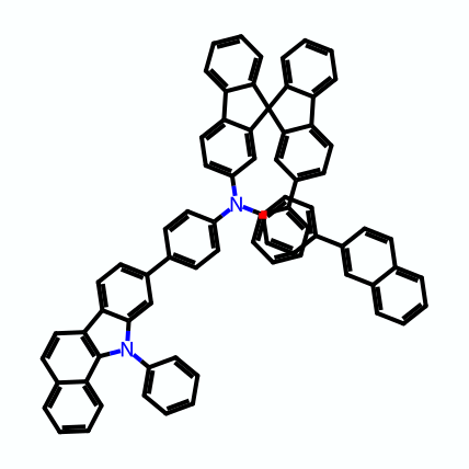 c1ccc(-c2ccc3c(c2)C2(c4ccccc4-3)c3ccccc3-c3ccc(N(c4ccc(-c5ccc6ccccc6c5)cc4)c4ccc(-c5ccc6c7ccc8ccccc8c7n(-c7ccccc7)c6c5)cc4)cc32)cc1